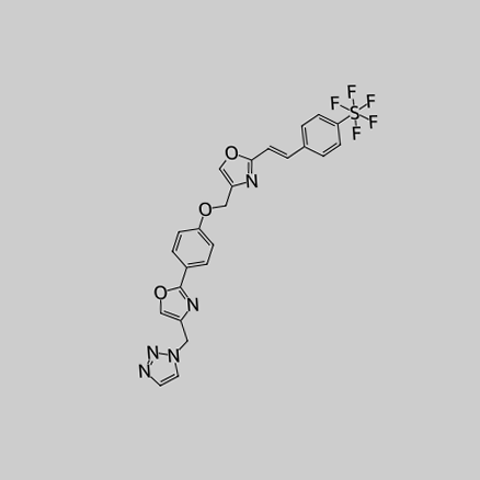 FS(F)(F)(F)(F)c1ccc(C=Cc2nc(COc3ccc(-c4nc(Cn5ccnn5)co4)cc3)co2)cc1